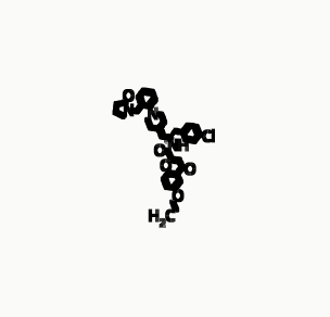 C=CCOc1ccc2oc(C(=O)N[C@@H](C=C3CCN(c4ccccc4CN4CCCC4=O)CC3)Cc3ccc(Cl)cc3)cc(=O)c2c1